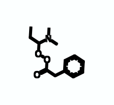 CCC(OOC(=O)Cc1ccccc1)N(C)C